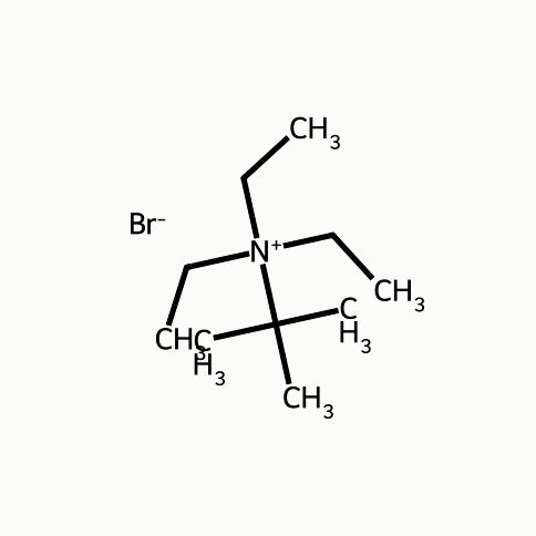 CC[N+](CC)(CC)C(C)(C)C.[Br-]